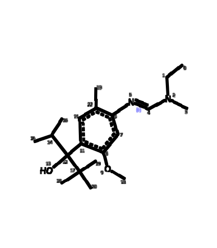 CCN(C)/C=N/c1cc(OC)c(C(O)(C(C)C)C(C)(C)C)cc1C